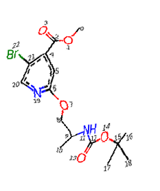 COC(=O)c1cc(OCC(C)NC(=O)OC(C)(C)C)ncc1Br